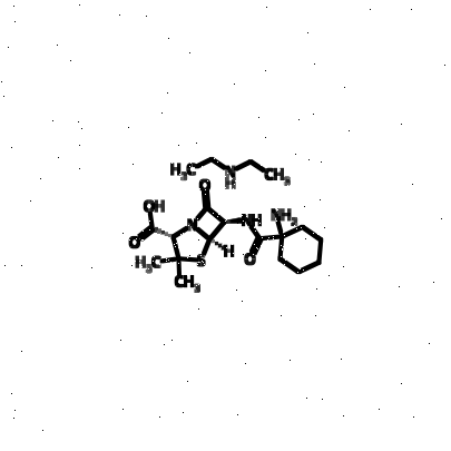 CC1(C)S[C@@H]2[C@H](NC(=O)C3(N)CCCCC3)C(=O)N2[C@H]1C(=O)O.CCNCC